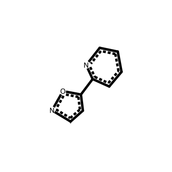 [c]1cc(-c2ccccn2)on1